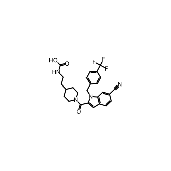 N#Cc1ccc2cc(C(=O)N3CCC(CCNC(=O)O)CC3)n(Cc3ccc(C(F)(F)F)cc3)c2c1